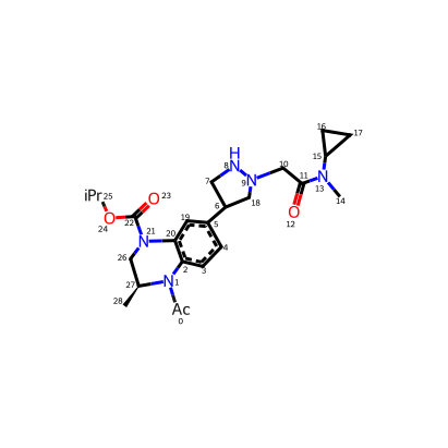 CC(=O)N1c2ccc(C3CNN(CC(=O)N(C)C4CC4)C3)cc2N(C(=O)OC(C)C)C[C@@H]1C